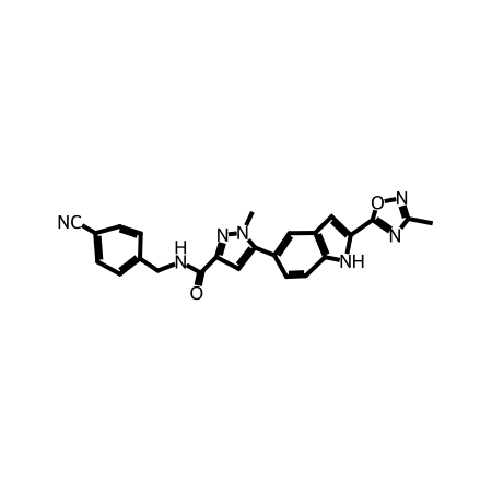 Cc1noc(-c2cc3cc(-c4cc(C(=O)NCc5ccc(C#N)cc5)nn4C)ccc3[nH]2)n1